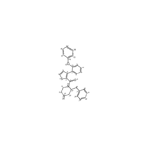 O=C(c1sccc1-c1ccccc1Oc1ccccc1)N1CCNCC1Cc1ccccc1